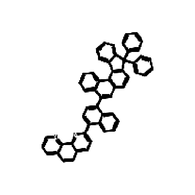 c1ccc(C2(c3ccccc3)c3ccccc3-c3c2ccc2cc(-c4ccc(-c5ccc6ccc7cccnc7c6n5)c5ccccc45)c4ccccc4c32)cc1